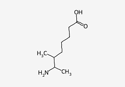 CC(N)C(C)CCCCC(=O)O